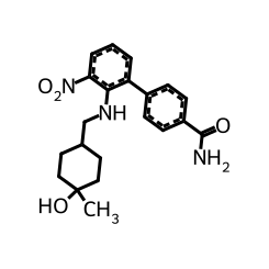 CC1(O)CCC(CNc2c(-c3ccc(C(N)=O)cc3)cccc2[N+](=O)[O-])CC1